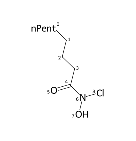 CCCCCCCCC(=O)N(O)Cl